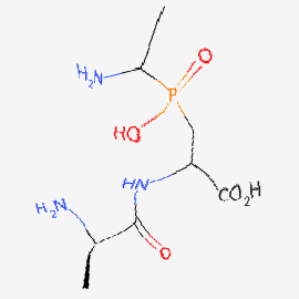 CC(N)P(=O)(O)CC(NC(=O)[C@@H](C)N)C(=O)O